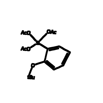 CC(=O)O[Si](OC(C)=O)(OC(C)=O)c1ccccc1OC(C)(C)C